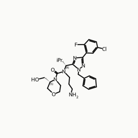 CC(C)[C@H](c1nc(-c2cc(Cl)ccc2F)nn1Cc1ccccc1)N(CCCN)C(=O)N1CCOC[C@@H]1CO